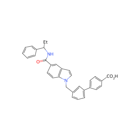 CCC(NC(=O)c1ccc2c(ccn2Cc2cccc(-c3ccc(C(=O)O)cc3)c2)c1)c1ccccc1